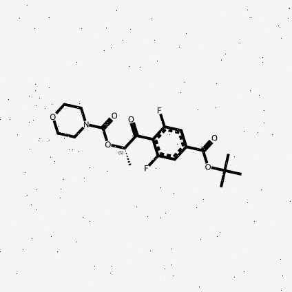 C[C@H](OC(=O)N1CCOCC1)C(=O)c1c(F)cc(C(=O)OC(C)(C)C)cc1F